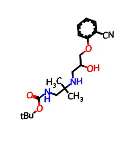 CC(C)(CNC(=O)OC(C)(C)C)NCC(O)COc1ccccc1C#N